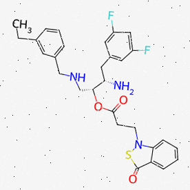 CCc1cccc(CNC[C@@H](OC(=O)CCn2sc(=O)c3ccccc32)[C@@H](N)Cc2cc(F)cc(F)c2)c1